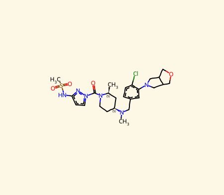 C[C@H]1C[C@@H](N(C)Cc2ccc(Cl)c(N3CC4COCC4C3)c2)CCN1C(=O)n1ccc(NS(C)(=O)=O)n1